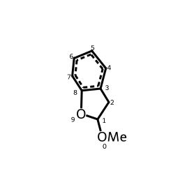 COC1Cc2ccccc2O1